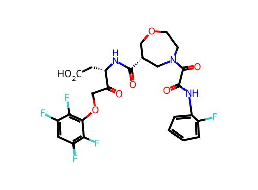 O=C(O)C[C@H](NC(=O)[C@@H]1COCCN(C(=O)C(=O)Nc2ccccc2F)C1)C(=O)COc1c(F)c(F)cc(F)c1F